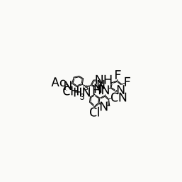 CC(=O)N(C)c1cccc([C@H](Nc2cc(Cl)c3ncc(C#N)c(Nc4cnc(F)c(F)c4)c3c2)c2c[nH]nn2)c1